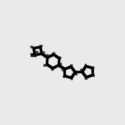 C1CCC(C2CCC(C3CCC(C4CCN4)CC3)C2)C1